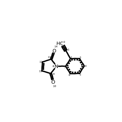 C#Cc1ccccc1N1C(=O)C=CC1=O